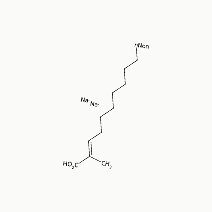 CCCCCCCCCCCCCCCCC=C(C)C(=O)O.[Na].[Na]